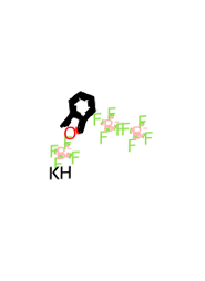 F[B-](F)(F)F.F[B-](F)(F)F.F[B-](F)(F)F.[KH].c1ccc2cocc2c1